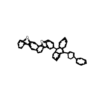 C1=C(c2ccccc2)CCC(c2c3ccccc3c(-c3ccc4oc5c6cc7oc8ccccc8c7cc6ccc5c4c3)c3ccccc23)=C1